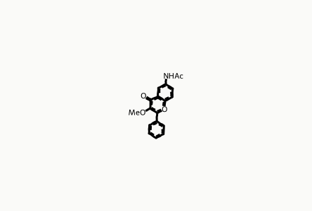 COc1c(-c2ccccc2)oc2ccc(NC(C)=O)cc2c1=O